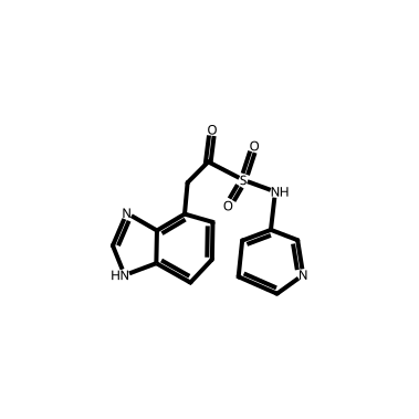 O=C(Cc1cccc2[nH]cnc12)S(=O)(=O)Nc1cccnc1